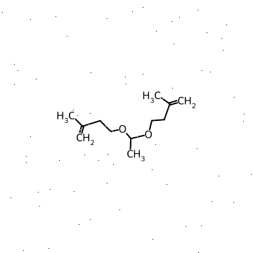 C=C(C)CCOC(C)OCCC(=C)C